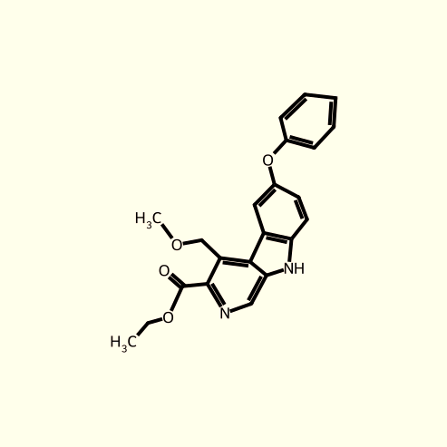 CCOC(=O)c1ncc2[nH]c3ccc(Oc4ccccc4)cc3c2c1COC